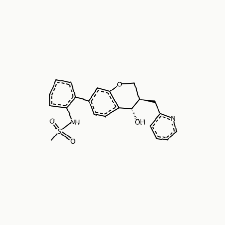 CS(=O)(=O)Nc1ccccc1-c1ccc2c(c1)OC[C@@H](Cc1ccccn1)[C@@H]2O